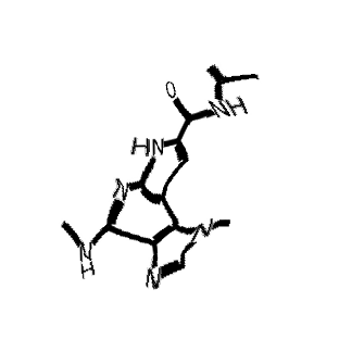 CNc1nc2[nH]c(C(=O)NC(C)C)cc2c2c1ncn2C